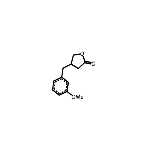 COc1cccc(CC2COC(=O)C2)c1